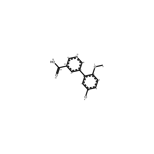 COc1ccc(Cl)cc1-c1cncc(C(=O)O)c1